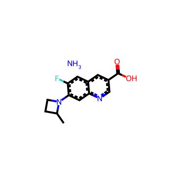 CC1CCN1c1cc2ncc(C(=O)O)cc2cc1F.N